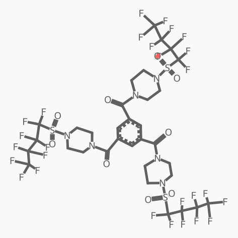 O=C(c1cc(C(=O)N2CCN(S(=O)(=O)C(F)(F)C(F)(F)C(F)(F)C(F)(F)F)CC2)cc(C(=O)N2CCN(S(=O)(=O)C(F)(F)C(F)(F)C(F)(F)C(F)(F)F)CC2)c1)N1CCN(S(=O)(=O)C(F)(F)C(F)(F)C(F)(F)C(F)(F)F)CC1